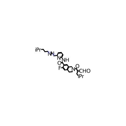 CC(C)CC/C=N/N=C/c1cccc(NC(=O)c2cc3c(cc2F)CCN(C(=O)[C@@H](C=O)CC(C)C)C3)n1